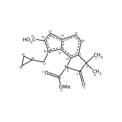 COC(=O)N1C(=O)C(C)(C)c2ccc3cc(C(=O)O)n(CC4CC4)c3c21